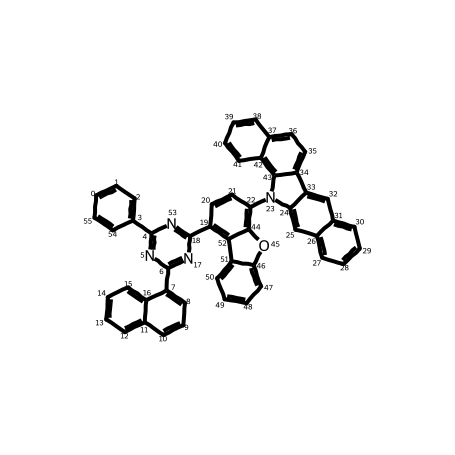 c1ccc(-c2nc(-c3cccc4ccccc34)nc(-c3ccc(-n4c5cc6ccccc6cc5c5ccc6ccccc6c54)c4oc5ccccc5c34)n2)cc1